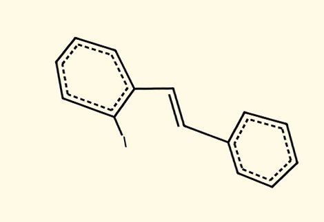 Ic1ccccc1C=Cc1ccccc1